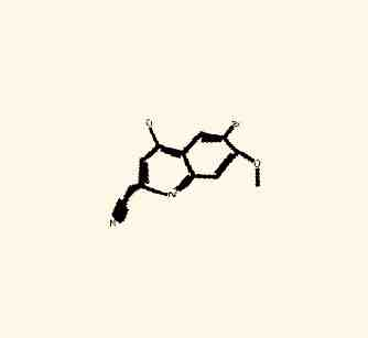 COc1cc2nc(C#N)cc(Cl)c2cc1Br